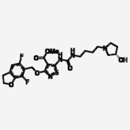 COC(=O)c1c(OCc2c(F)cc3c(c2F)OCC3)nsc1NC(=O)NCCCCN1CC[C@H](O)C1